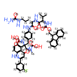 COc1ccc2[nH]c(-c3cccc(F)c3)cc(=O)c2c1C(Cc1ccc(NC(=O)[C@H](CCCNC(N)=O)NC(=O)[C@@H](NC(=O)OCC2c3ccccc3-c3ccccc32)C(C)C)cc1)(CN(C)C(=O)O)N(C)C(=O)O